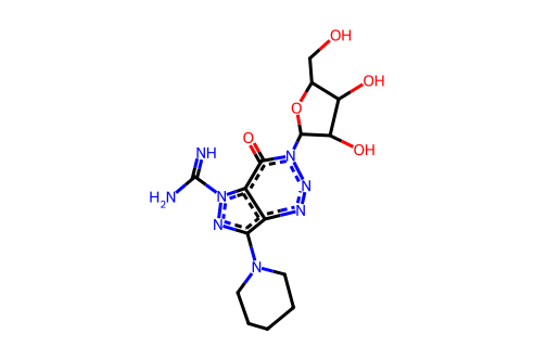 N=C(N)n1nc(N2CCCCC2)c2nnn(C3OC(CO)C(O)C3O)c(=O)c21